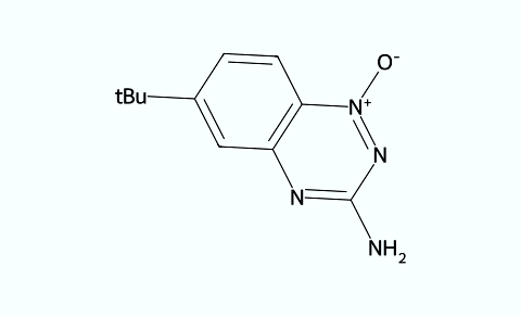 CC(C)(C)c1ccc2c(c1)nc(N)n[n+]2[O-]